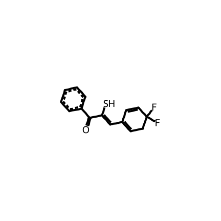 O=C(C(S)=CC1=CCC(F)(F)C=C1)c1ccccc1